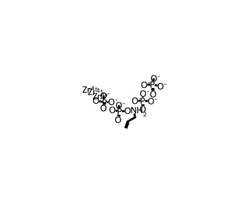 C=CCN.O=P([O-])([O-])[O-].O=P([O-])([O-])[O-].O=P([O-])([O-])[O-].O=P([O-])([O-])[O-].[Zr+4].[Zr+4].[Zr+4]